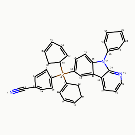 N#Cc1ccc(S(C2=CC=CCC2)(c2ccc3c(c2)c2cccnc2n3-c2ccccc2)C2C=CC=CC2)cc1